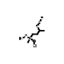 CCO[Si](C)(CCC(C)N=C=O)OCC